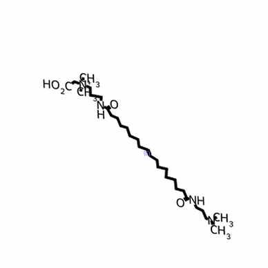 CN(C)CCCNC(=O)CCCCCCC/C=C/CCCCCCCC(=O)NCCC[N+](C)(C)CC(=O)O